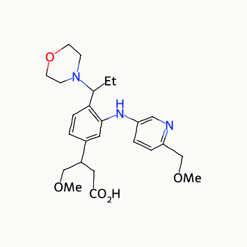 CCC(c1ccc(C(COC)CC(=O)O)cc1Nc1ccc(COC)nc1)N1CCOCC1